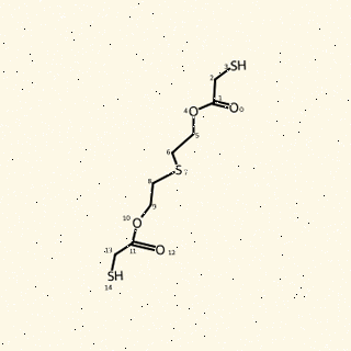 O=C(CS)OCCSCCOC(=O)CS